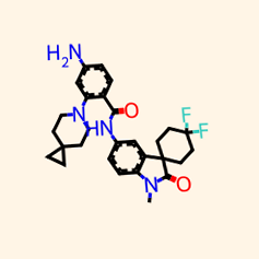 CN1C(=O)C2(CCC(F)(F)CC2)c2cc(NC(=O)c3ccc(N)cc3N3CCC4(CC3)CC4)ccc21